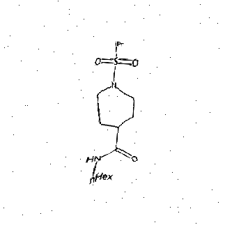 CCCCCCNC(=O)C1CCN(S(=O)(=O)C(C)C)CC1